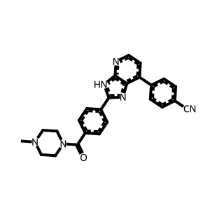 CN1CCN(C(=O)c2ccc(-c3nc4c(-c5ccc(C#N)cc5)ccnc4[nH]3)cc2)CC1